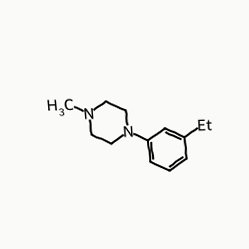 [CH2]Cc1cccc(N2CCN(C)CC2)c1